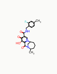 Cc1ccc(CNC(=O)c2cn3c(c(O)c2=O)C(=O)N2CC3CCCC2C)c(F)c1